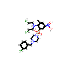 Cc1cc([N+](=O)[O-])cc(S(=O)(=O)N2CCN(Cc3cccc(Cl)c3)CC2)c1N(CCBr)CCBr